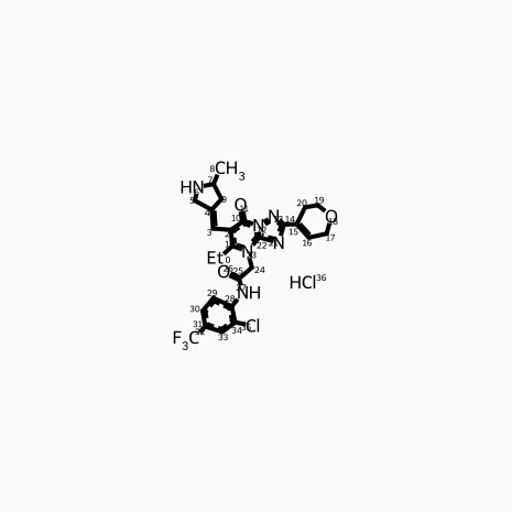 CCc1c(C=C2CNC(C)C2)c(=O)n2nc(C3=CCOCC3)nc2n1CC(=O)Nc1ccc(C(F)(F)F)cc1Cl.Cl